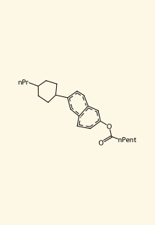 CCCCCC(=O)Oc1ccc2cc(C3CCC(CCC)CC3)ccc2c1